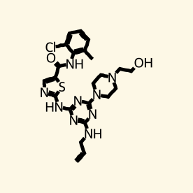 C=CCNc1nc(Nc2ncc(C(=O)Nc3c(C)cccc3Cl)s2)nc(N2CCN(CCO)CC2)n1